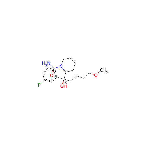 COCCCC[C@](O)(c1cccc(F)c1)C1CCCCN1C(N)=O